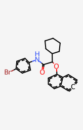 O=C(Nc1ccc(Br)cc1)C(Oc1cccc2ccccc12)C1CCCCC1